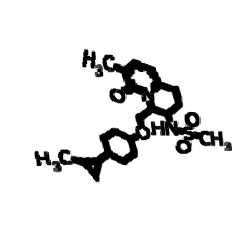 Cc1ccc2n(c1=O)C(COC1CCC(C3CC3C)CC1)C(NS(C)(=O)=O)CC2